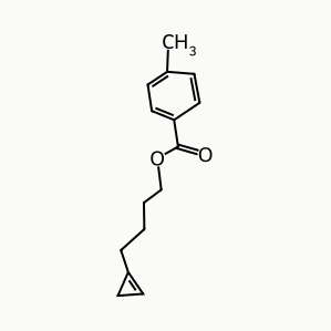 Cc1ccc(C(=O)OCCCCC2=CC2)cc1